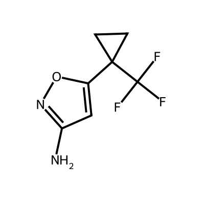 Nc1cc(C2(C(F)(F)F)CC2)on1